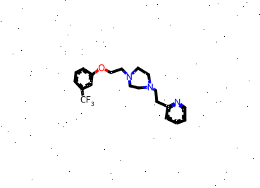 FC(F)(F)c1cccc(OCCN2CCN(CCc3ccccn3)CC2)c1